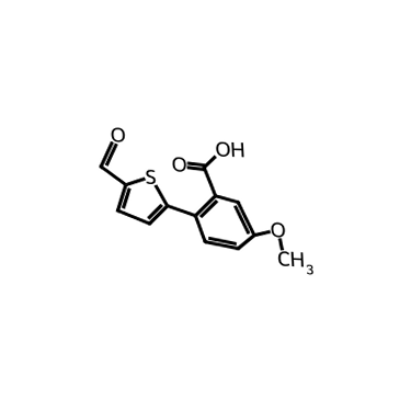 COc1ccc(-c2ccc(C=O)s2)c(C(=O)O)c1